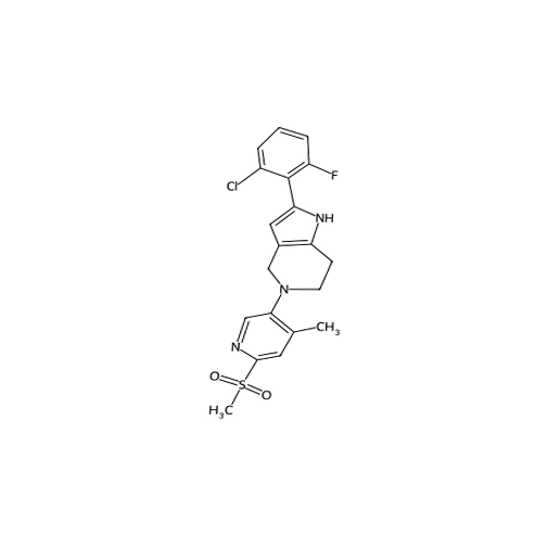 Cc1cc(S(C)(=O)=O)ncc1N1CCc2[nH]c(-c3c(F)cccc3Cl)cc2C1